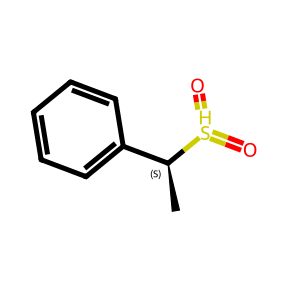 C[C@@H](c1ccccc1)[SH](=O)=O